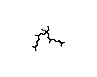 CCC(O)(CC=C(C)CCC=C(C)C)CC=C(C)CCC=C(C)C